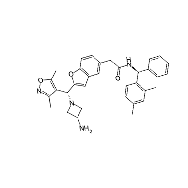 Cc1ccc([C@@H](NC(=O)Cc2ccc3oc([C@@H](c4c(C)noc4C)N4CC(N)C4)cc3c2)c2ccccc2)c(C)c1